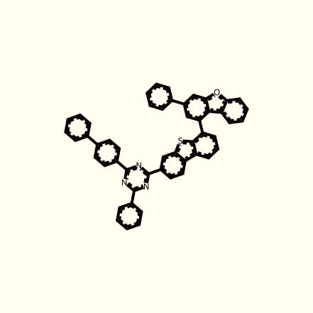 c1ccc(-c2ccc(-c3nc(-c4ccccc4)nc(-c4ccc5c(c4)sc4c(-c6cc(-c7ccccc7)cc7oc8ccccc8c67)cccc45)n3)cc2)cc1